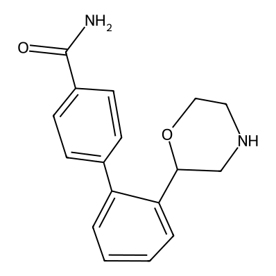 NC(=O)c1ccc(-c2ccccc2C2CNCCO2)cc1